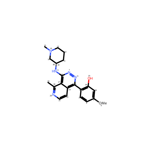 COc1ccc(-c2nnc(N[C@@H]3CCCN(C)C3)c3c(C)nccc23)c(O)c1